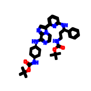 CC(C)(C)OC(=O)NCCC(Nc1cccc(-c2cnc3c(N[C@H]4CC[C@H](NC(=O)OC(C)(C)C)CC4)nccn23)n1)c1ccccc1